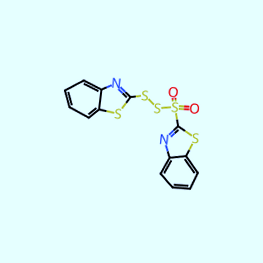 O=S(=O)(SSc1nc2ccccc2s1)c1nc2ccccc2s1